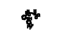 COC(=O)NCCc1nnc(-c2ccccc2Nc2ccc(C(F)(F)F)cc2)o1